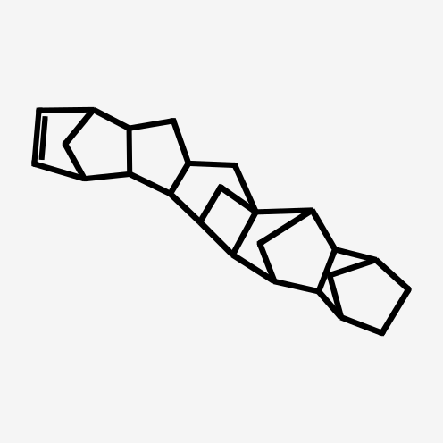 C1=CC2CC1C1CC3CC45CC(C3C21)C4C1CC5C2C3CCC(C3)C12